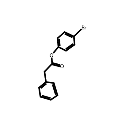 O=C(Cc1ccccc1)Oc1ccc(Br)cc1